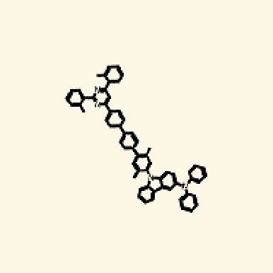 Cc1cc(-n2c3ccccc3c3cc(N(c4ccccc4)c4ccccc4)ccc32)c(C)cc1-c1ccc(-c2ccc(-c3cc(-c4ccccc4C)nc(-c4ccccc4C)n3)cc2)cc1